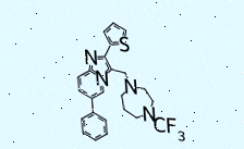 FC(F)(F)N1CCCN(Cc2c(-c3cccs3)nc3ccc(-c4ccccc4)cn23)CC1